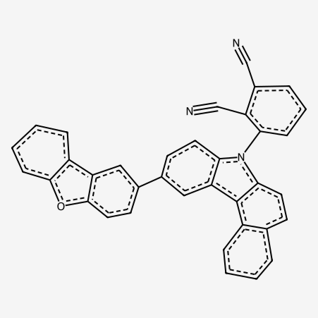 N#Cc1cccc(-n2c3ccc(-c4ccc5oc6ccccc6c5c4)cc3c3c4ccccc4ccc32)c1C#N